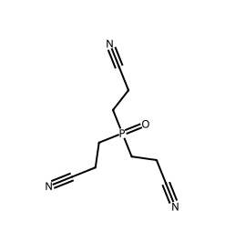 N#CCCP(=O)(CCC#N)CCC#N